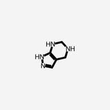 c1n[nH]c2c1CNCN2